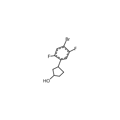 OC1CCC(c2cc(F)c(Br)cc2F)C1